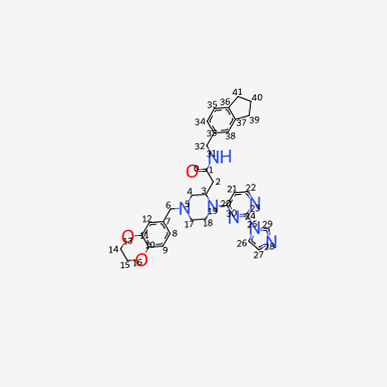 O=C(CC1CN(Cc2ccc3c(c2)OCCO3)CCN1c1ccnc(-n2ccnc2)n1)NCc1ccc2c(c1)CCC2